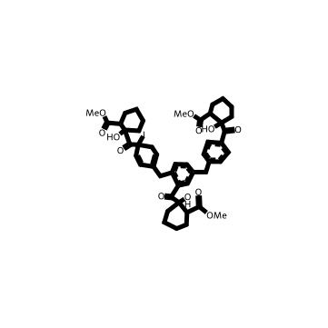 COC(=O)C1CCCCC1(O)C(=O)c1ccc(Cc2ccc(CC3=CCC(I)(C(=O)C4(O)CCCCC4C(=O)OC)C=C3)c(C(=O)C3(O)CCCCC3C(=O)OC)c2)cc1